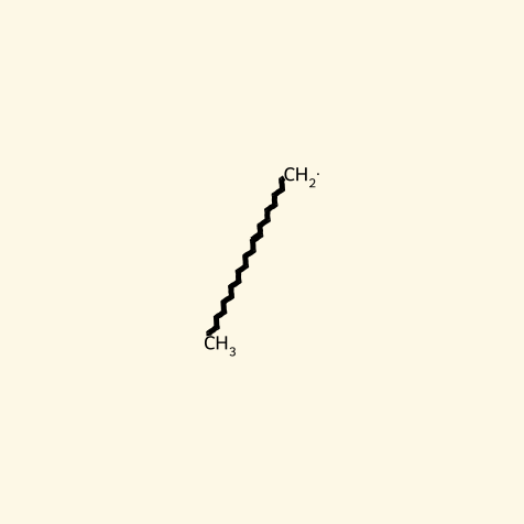 [CH2]CCCCCCC/C=C/CCCCCCCCCCCCC